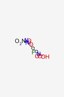 O=C1OC(CO)CN1c1ccc(-c2ccc(COC3COc4nc([N+](=O)[O-])cn4C3)cc2)c(F)c1